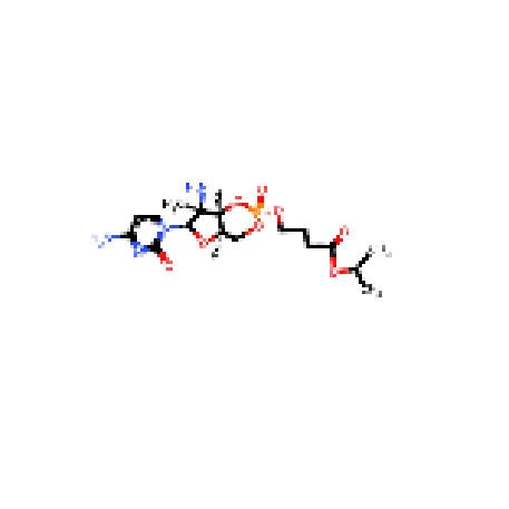 CC(C)OC(=O)CCCO[P@]1(=O)OC[C@H]2O[C@@H](n3ccc(N)nc3=O)[C@](C)(N)[C@@H]2O1